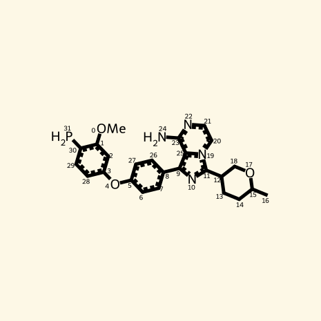 COc1cc(Oc2ccc(-c3nc(C4CCC(C)OC4)n4ccnc(N)c34)cc2)ccc1P